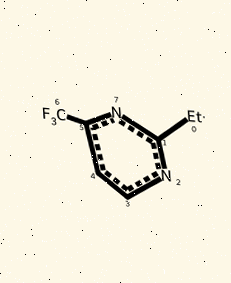 C[CH]c1nccc(C(F)(F)F)n1